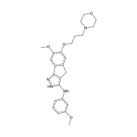 COc1cccc(Nc2[nH]nc3c2Cc2cc(OCCCN4CCOCC4)c(OC)cc2-3)c1